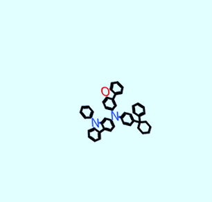 c1ccc(-n2c3ccccc3c3ccc(N(c4ccc(C5(c6ccccc6)CCCCC5)cc4)c4ccc5oc6ccccc6c5c4)cc32)cc1